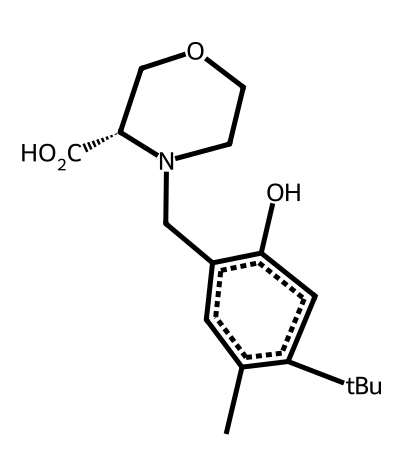 Cc1cc(CN2CCOC[C@H]2C(=O)O)c(O)cc1C(C)(C)C